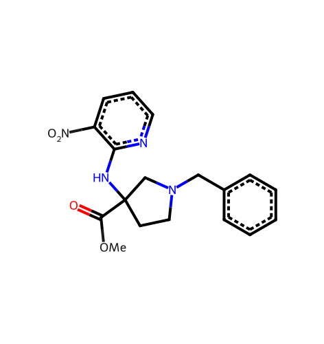 COC(=O)C1(Nc2ncccc2[N+](=O)[O-])CCN(Cc2ccccc2)C1